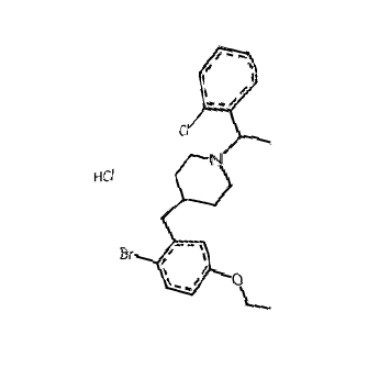 CCOc1ccc(Br)c(CC2CCN(C(C)c3ccccc3Cl)CC2)c1.Cl